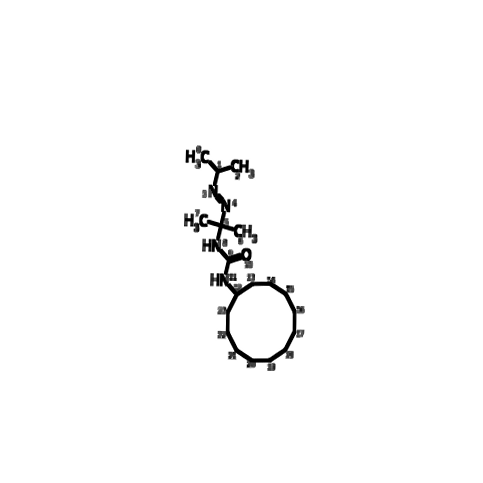 CC(C)/N=N/C(C)(C)NC(=O)NC1CCCCCCCCCCC1